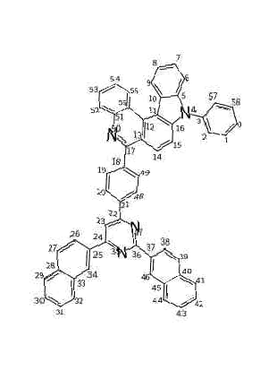 c1ccc(-n2c3ccccc3c3c4c(ccc32)c(-c2ccc(-c3cc(-c5ccc6ccccc6c5)nc(-c5ccc6ccccc6c5)n3)cc2)nc2ccccc24)cc1